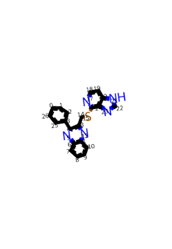 c1ccc(-c2nc3ccccc3nc2CSc2nccc3[nH]cnc23)cc1